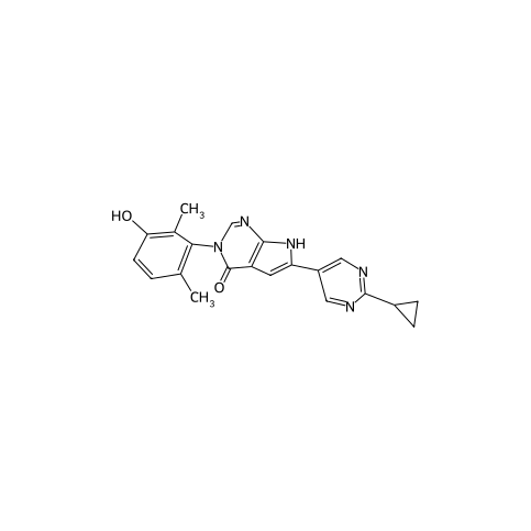 Cc1ccc(O)c(C)c1-n1cnc2[nH]c(-c3cnc(C4CC4)nc3)cc2c1=O